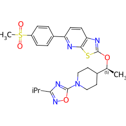 CC(C)c1noc(N2CCC([C@H](C)Oc3nc4ccc(-c5ccc(S(C)(=O)=O)cc5)nc4s3)CC2)n1